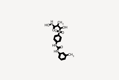 Cc1cccc(NC(=O)Nc2ccc(S(=O)(=O)C(O)C(C)C(=O)NO)cc2)c1